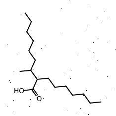 CCCCCCCC(C(=O)O)C(C)CCCCCC